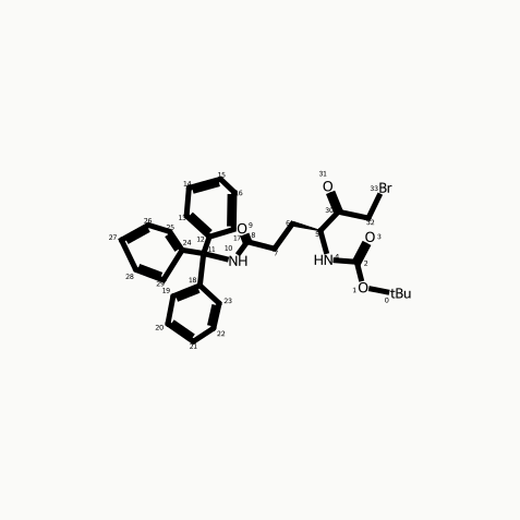 CC(C)(C)OC(=O)N[C@@H](CCC(=O)NC(c1ccccc1)(c1ccccc1)c1ccccc1)C(=O)CBr